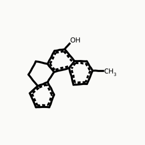 Cc1ccc2c3c(cc(O)c2c1)CCc1ccccc1-3